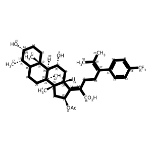 CC(=O)O[C@H]1C[C@@]2(C)[C@H](C[C@@H](O)[C@@H]3[C@@]4(C)CC[C@@H](O)[C@@H](C)C4CC[C@@]32C)C1=C(CCC(=C(C)C)c1ccc(C(F)(F)F)cc1)C(=O)O